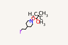 CC(C)(C)C(=O)ON1CCC(CCI)CC1